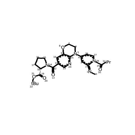 C/N=c1/cc(N2CCOc3cc(C(=O)N4CCC[C@H]4C(=O)OC(C)(C)C)cnc32)ccn1C(=O)C(C)C